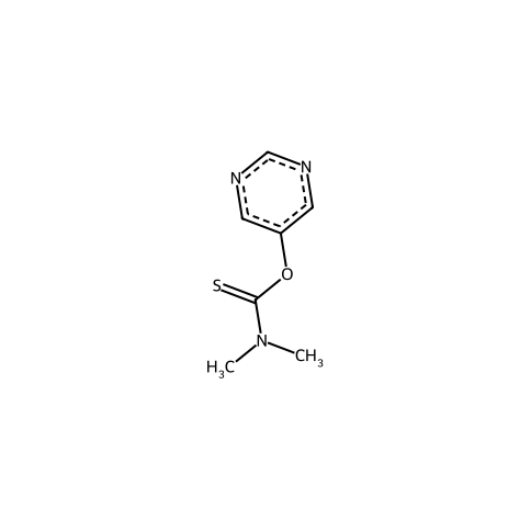 CN(C)C(=S)Oc1cncnc1